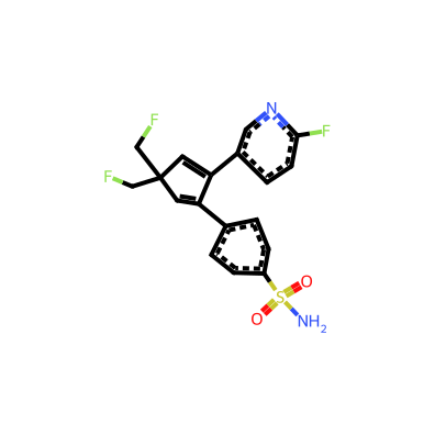 NS(=O)(=O)c1ccc(C2=CC(CF)(CF)C=C2c2ccc(F)nc2)cc1